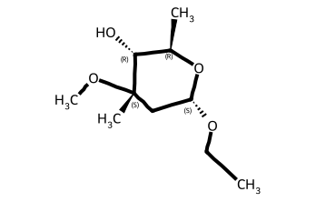 CCO[C@@H]1C[C@](C)(OC)[C@H](O)[C@@H](C)O1